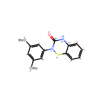 COc1cc(OC)cc(N2Sc3ccccc3NC2=O)c1